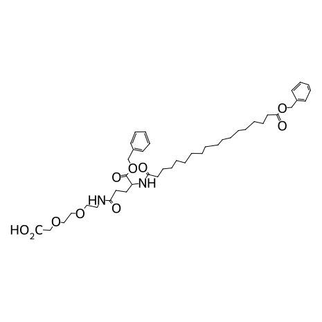 O=C(O)COCCOCCNC(=O)CCC(NC(=O)CCCCCCCCCCCCCCCCC(=O)OCc1ccccc1)C(=O)OCc1ccccc1